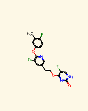 O=c1nc(OCCc2cnc(Oc3ccc(F)c(C(F)(F)F)c3)c(F)c2)c(F)c[nH]1